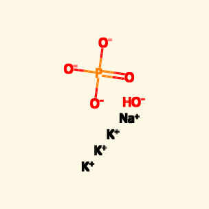 O=P([O-])([O-])[O-].[K+].[K+].[K+].[Na+].[OH-]